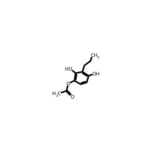 CCCc1c(O)ccc(OC(C)=O)c1O